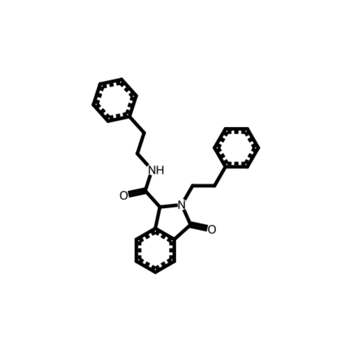 O=C(NCCc1ccccc1)C1c2ccccc2C(=O)N1CCc1ccccc1